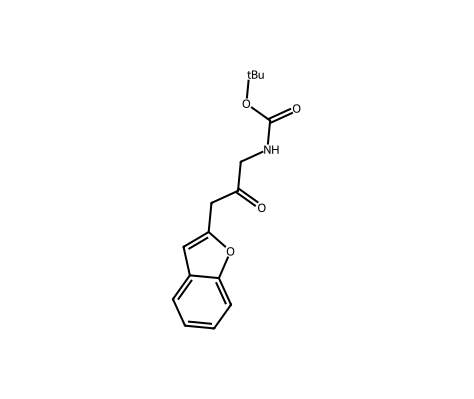 CC(C)(C)OC(=O)NCC(=O)Cc1cc2ccccc2o1